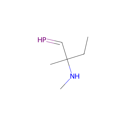 CCC(C)(C=P)NC